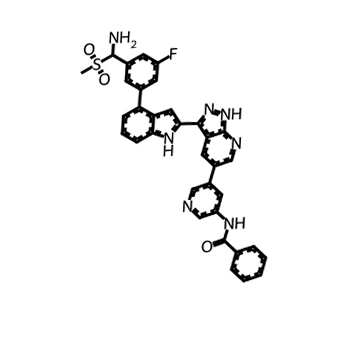 CS(=O)(=O)C(N)c1cc(F)cc(-c2cccc3[nH]c(-c4n[nH]c5ncc(-c6cncc(NC(=O)c7ccccc7)c6)cc45)cc23)c1